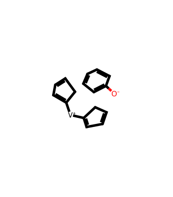 C1=CC[C]([V+][C]2=CC=CC2)=C1.[O-]c1ccccc1